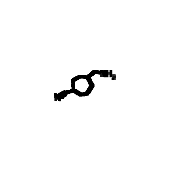 N#CC1CCCC(CN)CC1